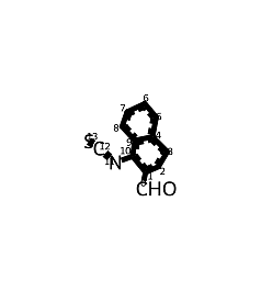 O=Cc1ccc2ccccc2c1N=C=S